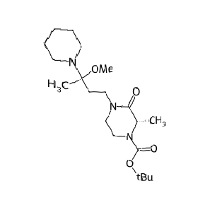 COC(C)(CCN1CCN(C(=O)OC(C)(C)C)[C@@H](C)C1=O)N1CCCCC1